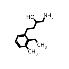 CCc1c(C)cccc1CCC(O)CN